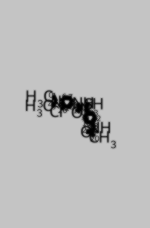 CCN(CC)c1ccc(NC(=O)N(S)c2ccc(NC(C)=O)cc2)cc1Cl